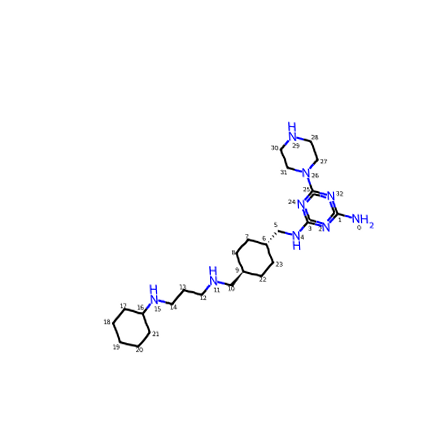 Nc1nc(NC[C@H]2CC[C@H](CNCCCNC3CCCCC3)CC2)nc(N2CCNCC2)n1